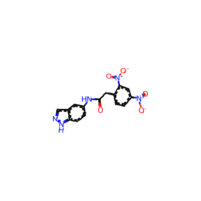 O=C(Cc1ccc([N+](=O)[O-])cc1[N+](=O)[O-])Nc1ccc2[nH]ncc2c1